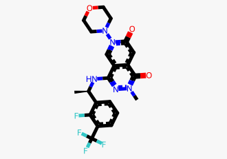 C[C@@H](Nc1nn(C)c(=O)c2cc(=O)n(N3CCOCC3)cc12)c1cccc(C(F)(F)F)c1F